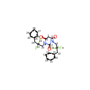 O=C1CC(=O)N(CC(F)(F)Cc2ccccc2)C(=O)N1CC(F)(F)Cc1ccccc1